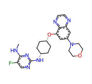 CNc1nc(N[C@H]2CC[C@@H](Oc3cc(N4CCOCC4)cc4nccnc34)CC2)ncc1F